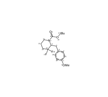 COc1ccc(CC2N(C(=O)OC(C)(C)C)CCCC2(F)F)cc1